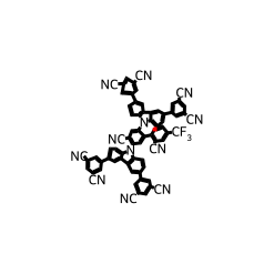 N#Cc1cc(C#N)cc(-c2ccc3c(c2)c2cc(-c4cc(C#N)cc(C#N)c4)ccc2n3-c2cc(-c3ccc(C(F)(F)F)cc3C#N)c(-n3c4ccc(-c5cc(C#N)cc(C#N)c5)cc4c4cc(-c5cc(C#N)cc(C#N)c5)ccc43)cc2C#N)c1